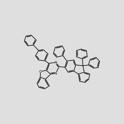 c1ccc(-c2ccc(-c3nc(-c4cc5c(cc4-c4ccccc4)C(c4ccccc4)(c4ccccc4)c4ccccc4-5)nc4c3oc3ccccc34)cc2)cc1